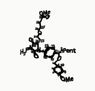 CCCCCC(OCc1ccc(OC)cc1)c1ccc(N2C(=O)N(P)C(=O)[C@@H]2CCOCCCC(=O)OC)cc1